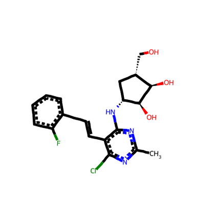 Cc1nc(Cl)c(/C=C/c2ccccc2F)c(N[C@@H]2C[C@H](CO)[C@@H](O)[C@H]2O)n1